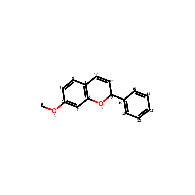 COc1ccc2c(c1)OC(c1ccccc1)C=C2